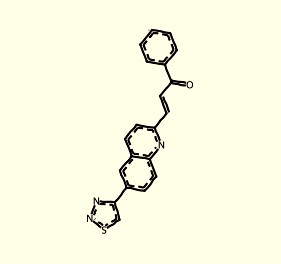 O=C(/C=C/c1ccc2cc(-c3csnn3)ccc2n1)c1cc[c]cc1